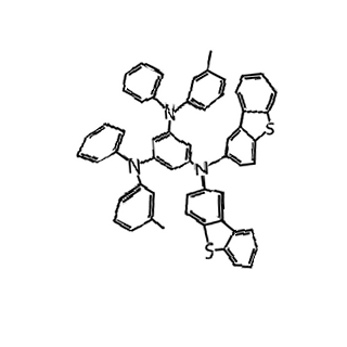 Cc1cccc(N(c2ccccc2)c2cc(N(c3ccccc3)c3cccc(C)c3)cc(N(c3ccc4sc5ccccc5c4c3)c3ccc4sc5ccccc5c4c3)c2)c1